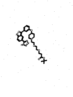 CC(C)(C)OC(=O)CCOCCOCCN1CCC(Oc2cccc(-c3onc4ccc(-c5nnn[nH]5)cc34)c2)CC1